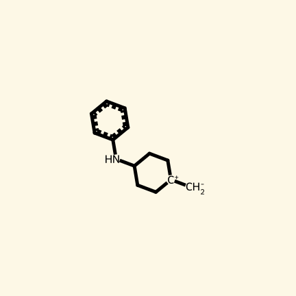 [CH2-][C+]1CCC(Nc2ccccc2)CC1